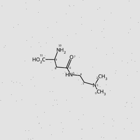 CN(C)CCNC(=O)CC(N)C(=O)O